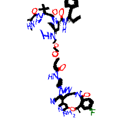 CC[C@@H](NC(=O)[C@@H]1C[C@H](NCCOCCOCCC(=O)NCCn2nc3c(c2C#N)-c2cnc(N)c(c2)O[C@H](C)c2cc(F)ccc2C(=O)N(C)C3)CN1C(=O)C(NC(=O)[C@H](C)NC)C(C)(C)C)c1ccccc1